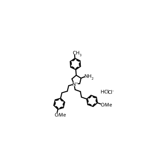 COc1ccc(CCC[N+]2(CCCc3ccc(OC)cc3)CC(N)C(c3ccc(C)cc3)C2)cc1.Cl.[Cl-]